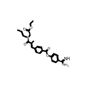 CCCN(CC(=O)OCC)C(=O)/C(C)=C/c1ccc(C(=O)Oc2ccc(C(=N)N)cc2)cc1